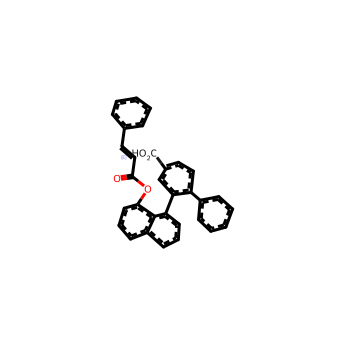 O=C(/C=C/c1ccccc1)Oc1cccc2cccc(-c3cc(C(=O)O)ccc3-c3ccccc3)c12